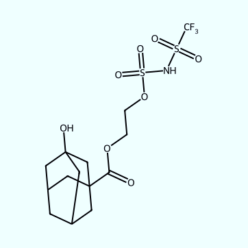 O=C(OCCOS(=O)(=O)NS(=O)(=O)C(F)(F)F)C12CC3CC(CC(O)(C3)C1)C2